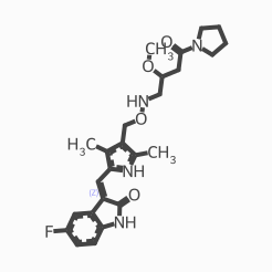 COC(CNOCc1c(C)[nH]c(/C=C2\C(=O)Nc3ccc(F)cc32)c1C)CC(=O)N1CCCC1